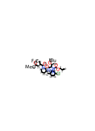 C=CCOC(=O)N[C@H](C(=O)N[C@@]1(Cc2ccc(Cl)cc2)CCCN(C(=O)[C@@H](CC(=O)OC)CC(F)(F)F)C1)[C@H](C)OC(C)(C)C